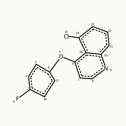 Fc1ccc(Oc2ccnc3cccc(Cl)c23)cc1